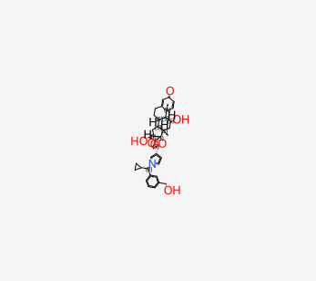 C[C@]12C=CC(=O)C=C1CC[C@@H]1[C@@H]2[C@@H](O)C[C@@]2(C)[C@H]1C[C@H]1O[C@@H](c3ccn([C@@H](c4cccc(CO)c4)C4CC4)c3)O[C@]12C(=O)CO